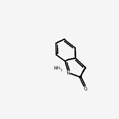 N.O=C1C=c2ccccc2=N1